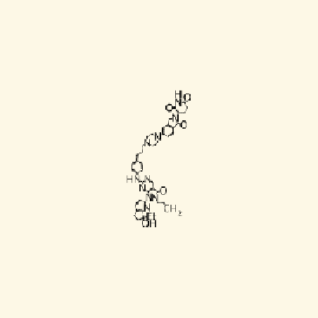 C=CCn1c(=O)c2cnc(Nc3ccc(CCCN4CCN(c5ccc6c(c5)CN(C5CCC(=O)NC5=O)C6=O)CC4)cc3)nc2n1-c1ccc2c(n1)[C@@](O)(CC)CC2